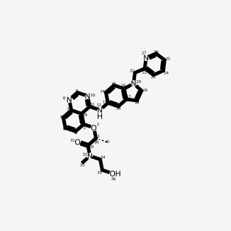 C[C@@H](Oc1cccc2ncnc(Nc3ccc4c(ccn4Cc4ccccn4)c3)c12)C(=O)N(C)CCO